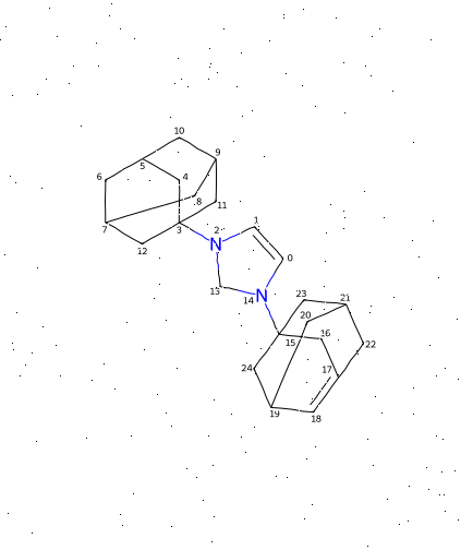 C1=CN(C23CC4CC(CC(C4)C2)C3)CN1C12CC3=CC(CC(C3)C1)C2